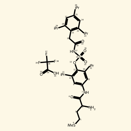 CSCCC(N)C(=O)Nc1cc(C(C)C)c(OS(=O)(=O)NC(=O)Cc2c(C(C)C)cc(C(C)C)cc2C(C)C)c(C(C)C)c1.O=C(O)C(F)(F)F